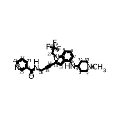 CN1CCC(Nc2cccc3c2cc(C#CCNC(=O)c2cccnc2)n3CC(F)(F)F)CC1